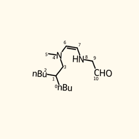 CCCCC(CCCC)CN(C)/C=C\NCC=O